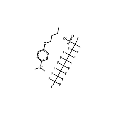 CCCCOc1ccc([S+](C)C)cc1.O=S(=O)([O-])C(F)(F)C(F)(F)C(F)(F)C(F)(F)C(F)(F)C(F)(F)C(F)(F)C(F)(F)F